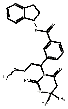 COCCC(c1cccc(C(=O)N[C@H]2CCc3ccccc32)c1)N1C(=N)NC(C)(C)CC1=O